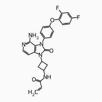 C=CC(=O)NC1CC(n2c(=O)n(-c3ccc(Oc4ccc(F)cc4F)cc3)c3c(N)nccc32)C1